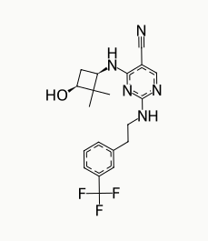 CC1(C)[C@@H](O)C[C@H]1Nc1nc(NCCc2cccc(C(F)(F)F)c2)ncc1C#N